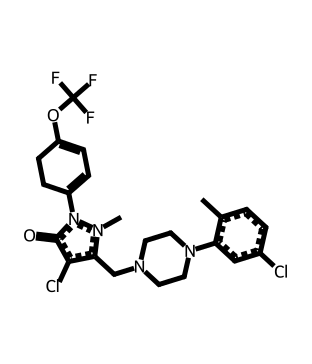 Cc1ccc(Cl)cc1N1CCN(Cc2c(Cl)c(=O)n(C3=CC=C(OC(F)(F)F)CC3)n2C)CC1